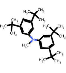 CN(c1cc(C(C)(C)C)cc(C(C)(C)C)c1)c1cc(C(C)(C)C)cc(C(C)(C)C)c1